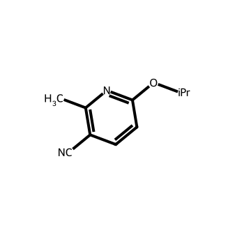 Cc1nc(OC(C)C)ccc1C#N